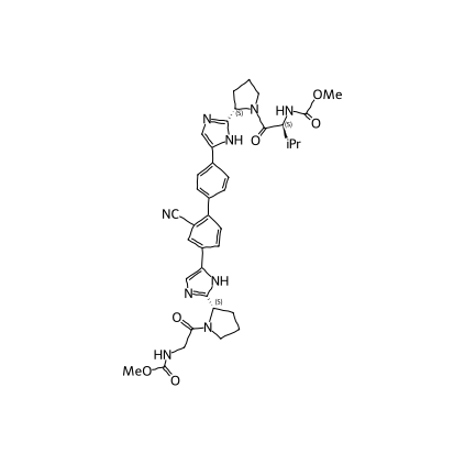 COC(=O)NCC(=O)N1CCC[C@H]1c1ncc(-c2ccc(-c3ccc(-c4cnc([C@@H]5CCCN5C(=O)[C@@H](NC(=O)OC)C(C)C)[nH]4)cc3)c(C#N)c2)[nH]1